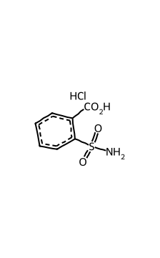 Cl.NS(=O)(=O)c1ccccc1C(=O)O